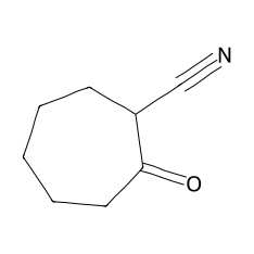 N#CC1CCCCCC1=O